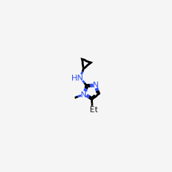 CCc1cnc(NC2CC2)n1C